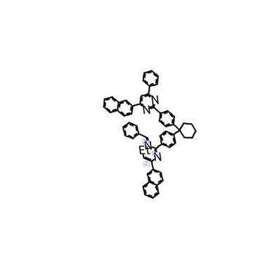 CC\C=C(/N=C(\N=C\c1ccccc1)c1ccc(C2(c3ccc(-c4nc(-c5ccccc5)cc(-c5ccc6ccccc6c5)n4)cc3)CCCCC2)cc1)c1ccc2ccccc2c1